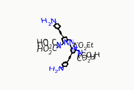 CCOC(=O)CN(Cc1cc(C#Cc2ccc(N)cc2)cc(CN(CC(=O)O)CC(=O)O)n1)Cc1cc(C#Cc2ccc(N)cc2)cc(CN(CC(=O)O)CC(=O)O)n1